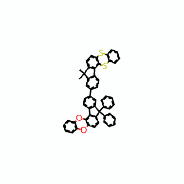 CC1(C)c2cc(-c3ccc4c(c3)C(c3ccccc3)(c3ccccc3)c3ccc5c(c3-4)Oc3ccccc3O5)ccc2-c2c1ccc1c2Sc2ccccc2S1